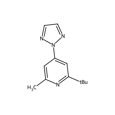 Cc1cc(-n2nccn2)cc(C(C)(C)C)n1